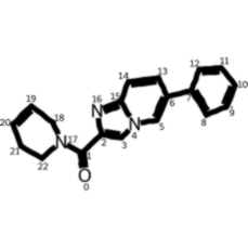 O=C(c1cn2cc(-c3c[c]ccc3)ccc2n1)N1CC=CCC1